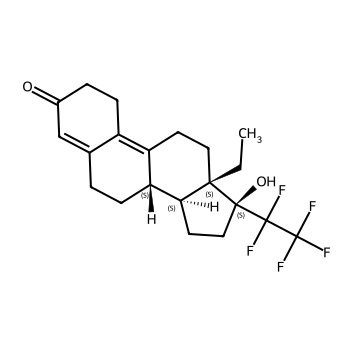 CC[C@]12CCC3=C4CCC(=O)C=C4CC[C@H]3[C@@H]1CC[C@@]2(O)C(F)(F)C(F)(F)F